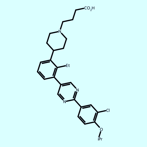 CCc1c(-c2cnc(-c3ccc(OC(C)C)c(Cl)c3)nc2)cccc1C1CCN(CCCC(=O)O)CC1